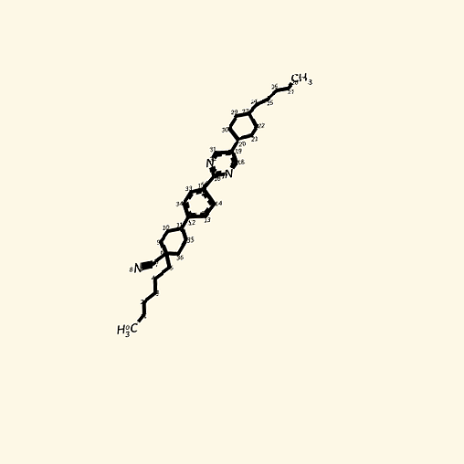 CCCCCCC1(C#N)CCC(c2ccc(-c3ncc(C4CCC(CCCCC)CC4)cn3)cc2)CC1